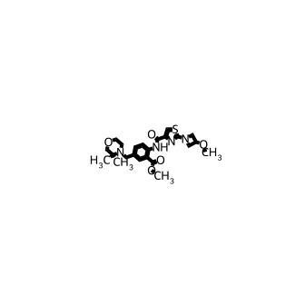 COC(=O)c1cc(CN2CCOCC2(C)C)ccc1NC(=O)c1csc(N2CC(OC)C2)n1